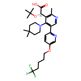 Cc1ncc(-c2ccc(OCCCCC(F)(F)F)cn2)c(N2CCC(C)(C)CC2)c1[C@H](OC(C)(C)C)C(=O)O